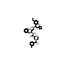 CCc1ccc2c(c1)C(NC[C@@H](O)[C@H](Cc1ccccc1)NC(=O)[C@@H]1CN(C(=O)c3cccc(C)c3)CCO1)CC1(CCC1)O2